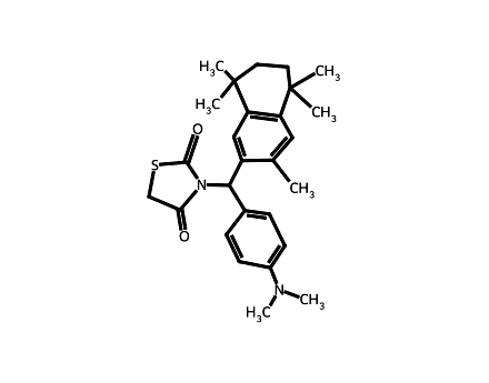 Cc1cc2c(cc1C(c1ccc(N(C)C)cc1)N1C(=O)CSC1=O)C(C)(C)CCC2(C)C